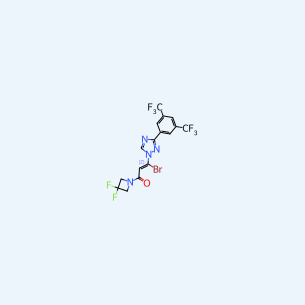 O=C(/C=C(\Br)n1cnc(-c2cc(C(F)(F)F)cc(C(F)(F)F)c2)n1)N1CC(F)(F)C1